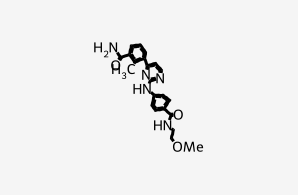 COCCNC(=O)c1ccc(Nc2nccc(-c3cccc(C(N)=O)c3C)n2)cc1